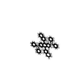 C1=Cc2ccc(-c3c4ccc(N(c5ccccc5)c5ccccc5)cc4c(-c4ccc5ccccc5c4)c4ccc(N(c5ccccc5)c5ccccc5)cc34)cc2CC1